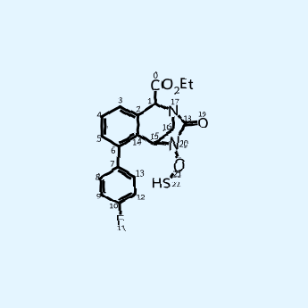 CCOC(=O)C1c2cccc(-c3ccc(F)cc3)c2C2CN1C(=O)N2OS